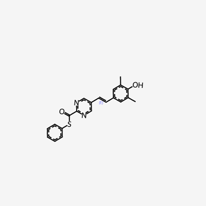 Cc1cc(/C=C/c2cnc(C(=O)Sc3ccccc3)nc2)cc(C)c1O